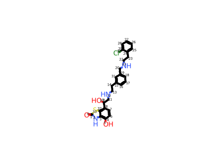 O=c1[nH]c2c(O)ccc(C(O)CNCCc3cccc(CNCCc4ccccc4Cl)c3)c2s1